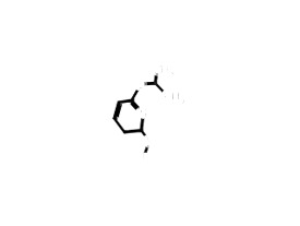 CC(C)OC1=NC(SI)CC=C1